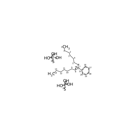 CCCCCC[CH2][Zn]([CH2]CCCCCC)[c]1ccccc1.OP(O)(O)=S.OP(O)(O)=S